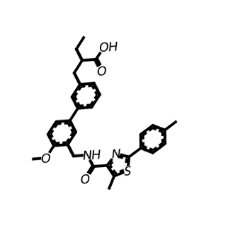 CCC(Cc1cccc(-c2ccc(OC)c(CNC(=O)c3nc(-c4ccc(C)cc4)sc3C)c2)c1)C(=O)O